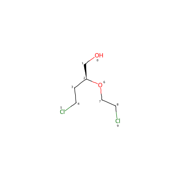 OC[C@H](CCCl)OCCCl